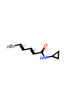 CCCC/C=C/C=C/C(=O)NC1CC1